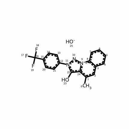 Cc1cc2ccccc2[n+]2nn(-c3ccc(C(F)(F)F)cc3)c(O)c12.[OH-]